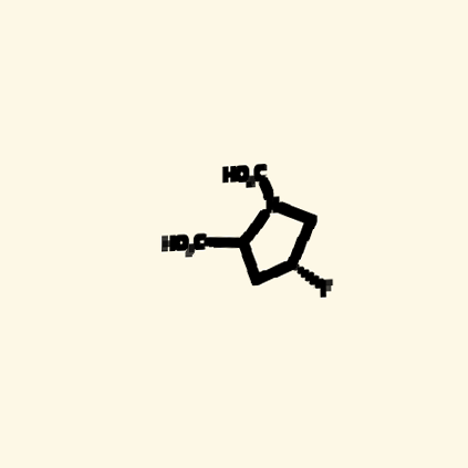 O=C(O)C1C[C@@H](F)CN1C(=O)O